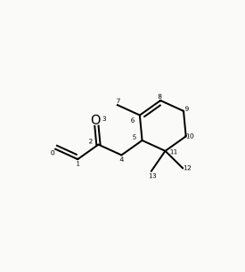 C=CC(=O)CC1C(C)=CCCC1(C)C